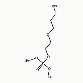 CCCOCCOCCOP(=O)(OC(C)C)OC(C)C